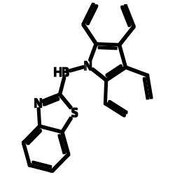 C=Cc1c(C=C)c(C=C)n(Bc2nc3ccccc3s2)c1C=C